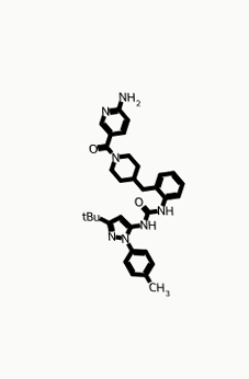 Cc1ccc(-n2nc(C(C)(C)C)cc2NC(=O)Nc2ccccc2CC2CCN(C(=O)c3ccc(N)nc3)CC2)cc1